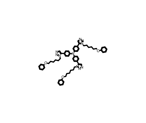 c1ccc(OCCCCCCn2nncc2-c2ccc(N(c3ccc(-c4cnnn4CCCCCCOc4ccccc4)cc3)c3ccc(-c4cnnn4CCCCCCOc4ccccc4)cc3)cc2)cc1